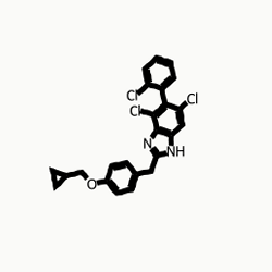 Clc1ccccc1-c1c(Cl)cc2[nH]c(Cc3ccc(OCC4CC4)cc3)nc2c1Cl